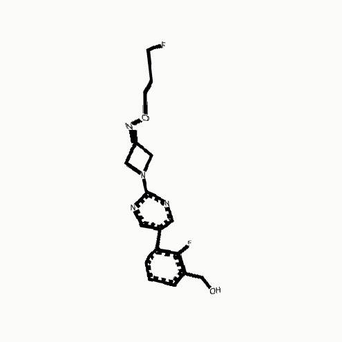 OCc1cccc(-c2cnc(N3CC(=NOCCCF)C3)nc2)c1F